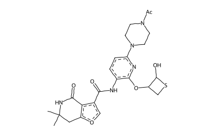 CC(=O)N1CCN(c2ccc(NC(=O)c3coc4c3C(=O)NC(C)(C)C4)c(OC3CSC3O)n2)CC1